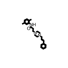 Cc1ccc(C)c(NC(=O)CCN2CCN(C/C=C/c3ccccc3)CC2)c1